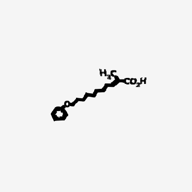 CC(=CCCCCCCCCOc1ccccc1)C(=O)O